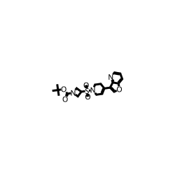 CC(C)(C)OC(=O)N1CC(S(=O)(=O)N2CC=C(c3coc4cccnc34)CC2)C1